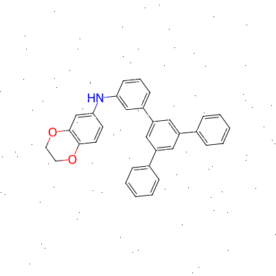 c1ccc(-c2cc(-c3ccccc3)cc(-c3cccc(Nc4ccc5c(c4)OCCO5)c3)c2)cc1